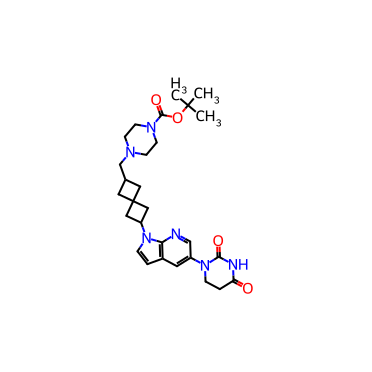 CC(C)(C)OC(=O)N1CCN(CC2CC3(C2)CC(n2ccc4cc(N5CCC(=O)NC5=O)cnc42)C3)CC1